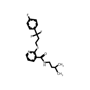 CC(C)CCNC(=O)c1cccnc1SCCC(F)(F)c1ccc(F)cc1